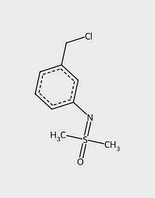 CS(C)(=O)=Nc1cccc(CCl)c1